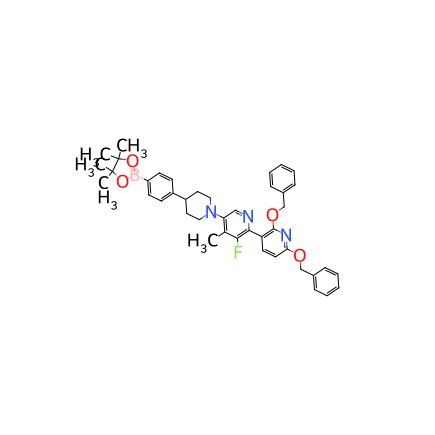 Cc1c(N2CCC(c3ccc(B4OC(C)(C)C(C)(C)O4)cc3)CC2)cnc(-c2ccc(OCc3ccccc3)nc2OCc2ccccc2)c1F